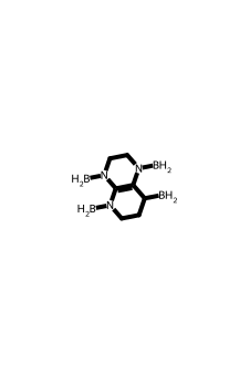 BC1CCN(B)C2=C1N(B)CCN2B